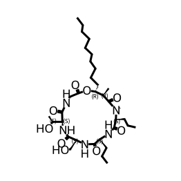 CCCCCCCCCC[C@H]1OC(=O)CNC(=O)[C@H]([C@H](C)O)NC(=O)[C@H](CO)NC(=O)[C@H](CCC)NC(=O)[C@H](CCC)N(C)C(=O)[C@@H]1C